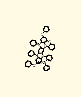 CN(c1ccccc1)c1ccccc1B1c2ccc(Oc3ccccc3)cc2N(c2ccccc2)c2cc3c(cc21)B1c2ccccc2Oc2cc(Oc4ccccc4)cc(c21)N3c1ccccc1